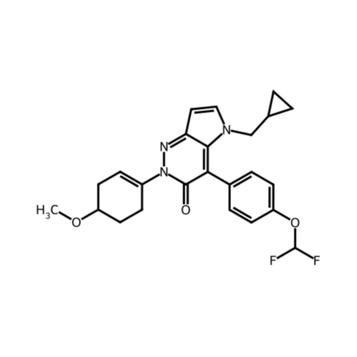 COC1CC=C(n2nc3ccn(CC4CC4)c3c(-c3ccc(OC(F)F)cc3)c2=O)CC1